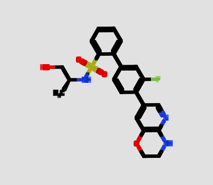 C[C@@H](CO)NS(=O)(=O)c1ccccc1-c1ccc(-c2cnc3c(c2)OCCN3)c(F)c1